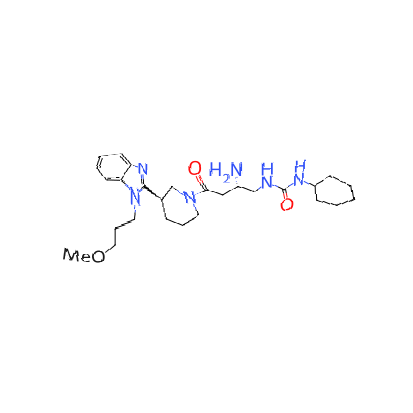 COCCCn1c([C@@H]2CCCN(C(=O)C[C@H](N)CNC(=O)NC3CCCCC3)C2)nc2ccccc21